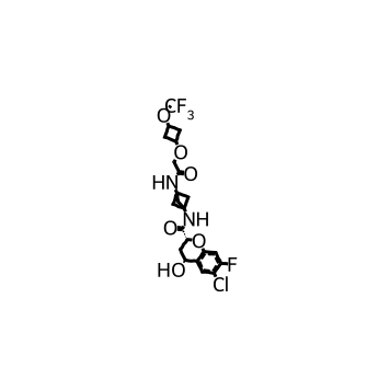 O=C(COC1CC(OC(F)(F)F)C1)NC12CC(NC(=O)[C@H]3C[C@@H](O)c4cc(Cl)c(F)cc4O3)(C1)C2